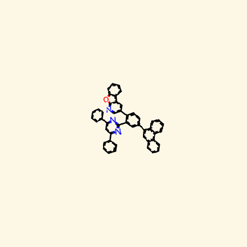 c1ccc(-c2cc(-c3ccccc3)nc(-c3cc(-c4cc5ccccc5c5ccccc45)ccc3-c3cnc4oc5ccccc5c4c3)n2)cc1